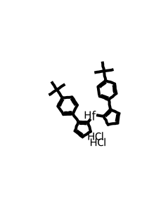 CC(C)(C)c1ccc(C2=[C]([Hf][C]3=C(c4ccc(C(C)(C)C)cc4)C=CC3)CC=C2)cc1.Cl.Cl